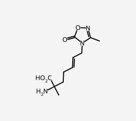 Cc1noc(=O)n1CC=CCCC(C)(N)C(=O)O